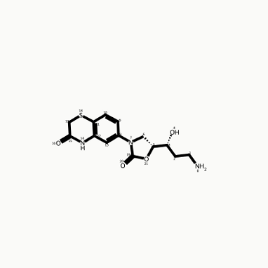 NCC[C@@H](O)[C@H]1CN(c2ccc3c(c2)NC(=O)CS3)C(=O)O1